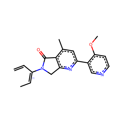 C=C/C(=C\C)N1Cc2nc(-c3cnccc3OC)cc(C)c2C1=O